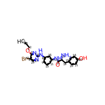 C#CCOc1nc(Nc2cccc(NC(=O)[C@H](N)Cc3ccc(O)cc3)c2)ncc1Br